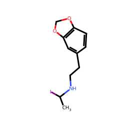 CC(I)NCCc1ccc2c(c1)OCO2